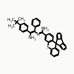 CC(C)(C)c1ccc(/C(N)=C(/N=C(\N)c2ccc3c(c2)Sc2ccccc2C32c3ccccc3-c3ccccc32)c2ccccc2)cc1